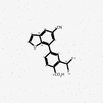 N#Cc1cc(-c2ccc(C(=O)O)c(C(F)F)c2)c2occc2c1